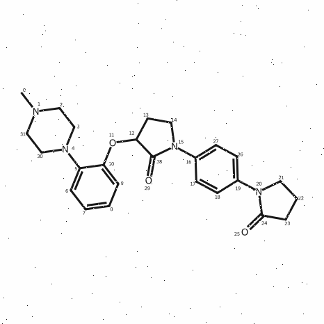 CN1CCN(c2ccccc2OC2CCN(c3ccc(N4CCCC4=O)cc3)C2=O)CC1